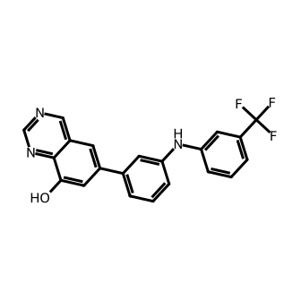 Oc1cc(-c2cccc(Nc3cccc(C(F)(F)F)c3)c2)cc2cncnc12